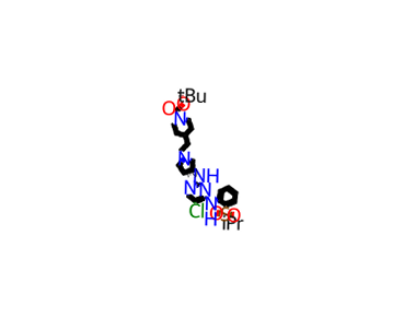 CC(C)S(=O)(=O)c1ccccc1Nc1nc(N[C@@H]2CCN(CCC3CCN(C(=O)OC(C)(C)C)CC3)C2)ncc1Cl